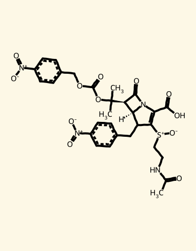 CC(=O)NCC[S+]([O-])C1=C(C(=O)O)N2C(=O)[C@H](C(C)(C)OC(=O)OCc3ccc([N+](=O)[O-])cc3)[C@@H]2C1Cc1ccc([N+](=O)[O-])cc1